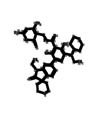 CCN1C(=O)C2(CCOCC2)c2ccc(-c3cc(N(CC)C4CCOCC4)c(C)c(C(=O)NCc4c(C)cc(C)[nH]c4=O)c3Cl)cc21